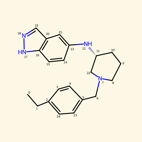 CCc1ccc(CN2CCC[C@@H](Nc3ccc4[nH]ncc4c3)C2)cc1